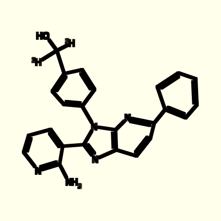 [2H]C([2H])(O)c1ccc(-n2c(-c3cccnc3N)nc3ccc(-c4ccccc4)nc32)cc1